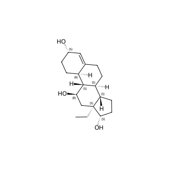 CC[C@]12C[C@@H](O)[C@H]3[C@@H](CCC4=C[C@@H](O)CC[C@@H]43)[C@@H]1CC[C@@H]2O